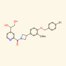 CCc1ccc(COc2ccc(C3CN(C(=O)c4cc(C(O)CO)ccn4)C3)cc2OC)cc1